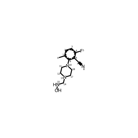 Cc1ccc(F)c(C#N)c1N1CCN(CNO)CC1